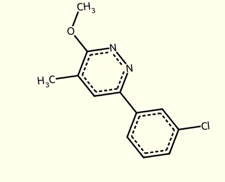 COc1nnc(-c2cccc(Cl)c2)cc1C